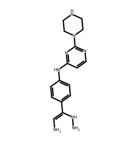 N/C=C(\NN)c1ccc(Nc2ccnc(N3CCNCC3)n2)cc1